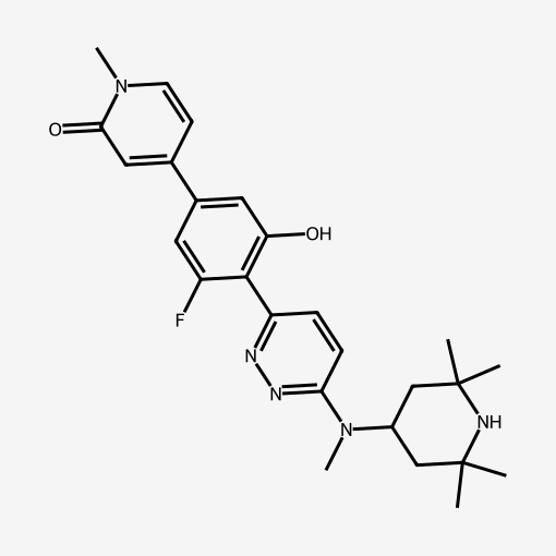 CN(c1ccc(-c2c(O)cc(-c3ccn(C)c(=O)c3)cc2F)nn1)C1CC(C)(C)NC(C)(C)C1